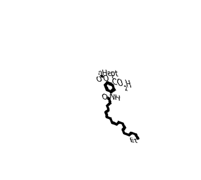 CC/C=C\C/C=C\C/C=C\C/C=C\C/C=C\CCCC(=O)Nc1ccc(OC(=O)CCCCCCC)c(C(=O)O)c1